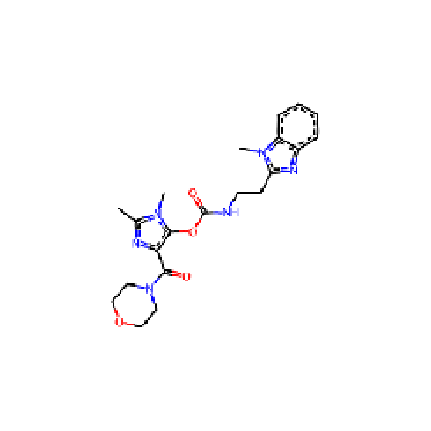 Cc1nc(C(=O)N2CCOCC2)c(OC(=O)NCCc2nc3ccccc3n2C)n1C